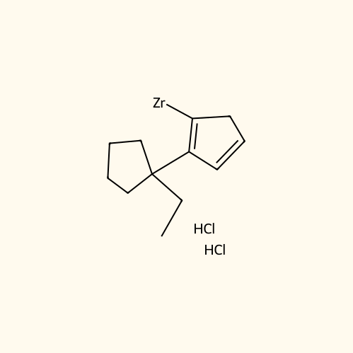 CCC1(C2=[C]([Zr])CC=C2)CCCC1.Cl.Cl